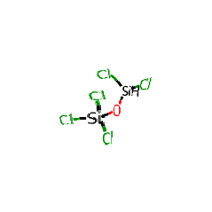 Cl[SiH](Cl)O[Si](Cl)(Cl)Cl